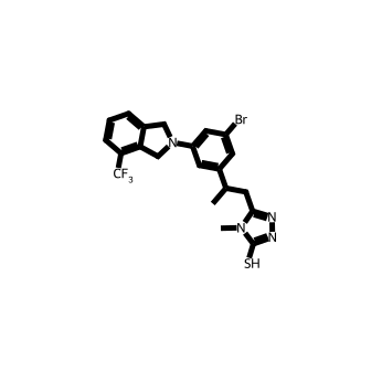 CC(Cc1nnc(S)n1C)c1cc(Br)cc(N2Cc3cccc(C(F)(F)F)c3C2)c1